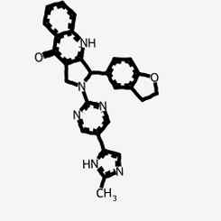 Cc1ncc(-c2cnc(N3Cc4c([nH]c5ccccc5c4=O)C3c3ccc4c(c3)CCO4)nc2)[nH]1